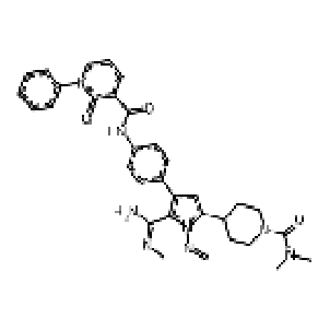 C=Nn1c(C2CCN(C(=O)N(C)C)CC2)cc(-c2ccc(NC(=O)c3cccn(-c4ccccc4)c3=O)cc2)c1/C(N)=N\C